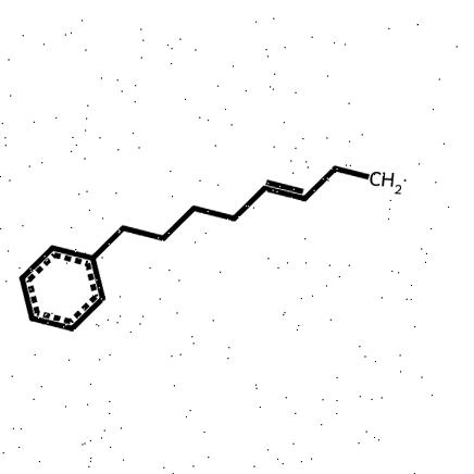 [CH2]CC=CCCCCc1ccccc1